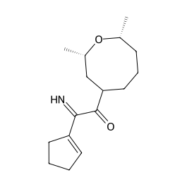 C[C@@H]1CCCC(C(=O)C(=N)C2=CCCC2)C[C@H](C)O1